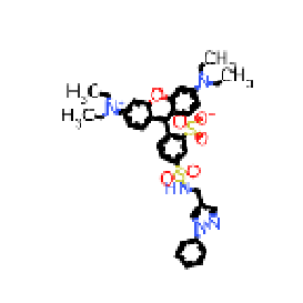 CCN(CC)c1ccc2c(-c3ccc(S(=O)(=O)NCc4cnn(-c5ccccc5)c4)cc3S(=O)(=O)[O-])c3ccc(=[N+](CC)CC)cc-3oc2c1